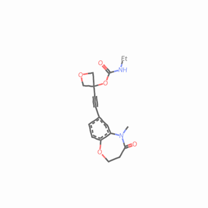 CCNC(=O)OC1(C#Cc2ccc3c(c2)N(C)C(=O)CCO3)COC1